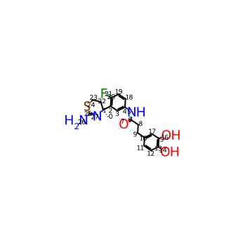 C[C@@]1(c2cc(NC(=O)CCc3ccc(O)c(O)c3)ccc2F)CCSC(N)=N1